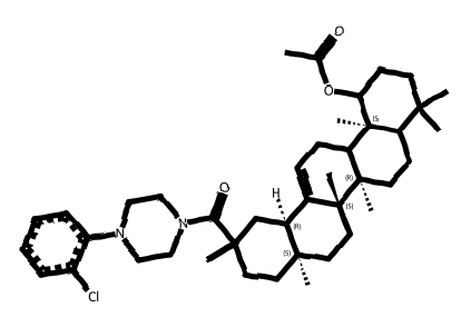 CC(=O)OC1CCC(C)(C)C2CC[C@]3(C)C(CC=C4[C@@H]5CC(C)(C(=O)N6CCN(c7ccccc7Cl)CC6)CC[C@]5(C)CC[C@]43C)[C@@]12C